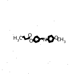 CCCC(=O)Oc1ccc(/C=N/c2ccc(OC)cc2)cc1